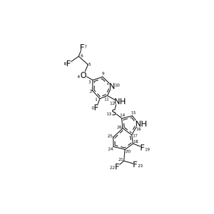 Fc1cc(OCC(F)F)cnc1NSc1c[nH]c2c(F)c(C(F)F)ccc12